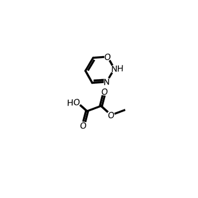 C1=CONN=C1.COC(=O)C(=O)O